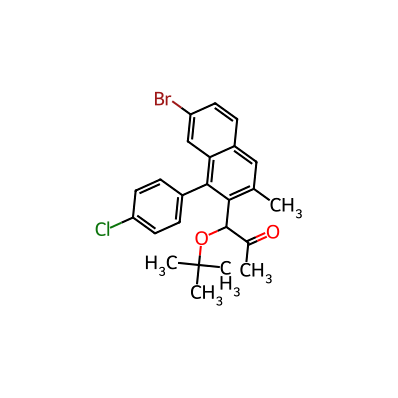 CC(=O)C(OC(C)(C)C)c1c(C)cc2ccc(Br)cc2c1-c1ccc(Cl)cc1